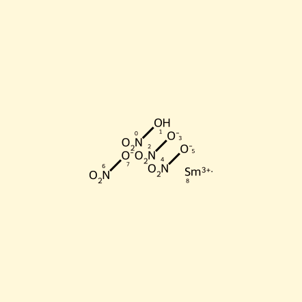 O=[N+]([O-])O.O=[N+]([O-])[O-].O=[N+]([O-])[O-].O=[N+]([O-])[O-].[Sm+3]